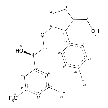 OCC1CCC(OC[C@H](O)c2cc(C(F)(F)F)cc(C(F)(F)F)c2)C1c1ccc(F)cc1